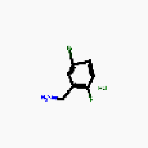 Cl.NCc1cc(Br)ccc1F